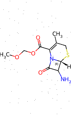 COCOC(=O)C1=C(C)CS[C@@H]2C(N)C(=O)N12